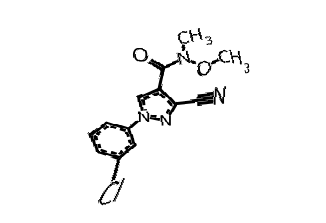 CON(C)C(=O)c1cn(-c2cccc(Cl)c2)nc1C#N